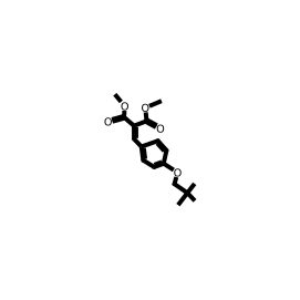 COC(=O)C(=Cc1ccc(OCC(C)(C)C)cc1)C(=O)OC